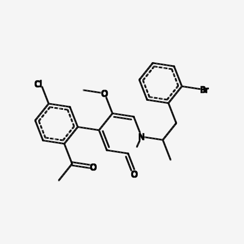 COC(=C/N(C)C(C)Cc1ccccc1Br)/C(=C\C=O)c1cc(Cl)ccc1C(C)=O